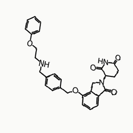 O=C1CCC(N2Cc3c(OCc4ccc(CNCCOc5ccccc5)cc4)cccc3C2=O)C(=O)N1